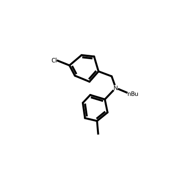 CCCCN(Cc1ccc(Cl)cc1)c1cccc(C)c1